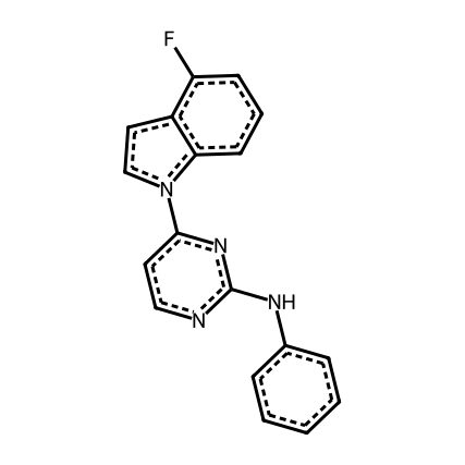 Fc1cccc2c1ccn2-c1ccnc(Nc2ccccc2)n1